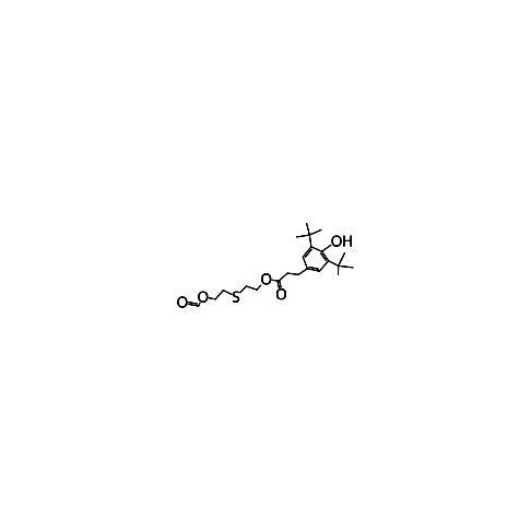 CC(C)(C)c1cc(CCC(=O)OCCSCCOC=O)cc(C(C)(C)C)c1O